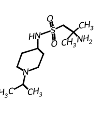 CC(C)N1CCC(NS(=O)(=O)CC(C)(C)N)CC1